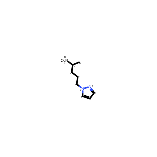 CC(CCCn1cccn1)[N+](=O)[O-]